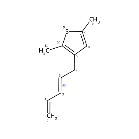 C=C/C=C/Cc1cc(C)sc1C